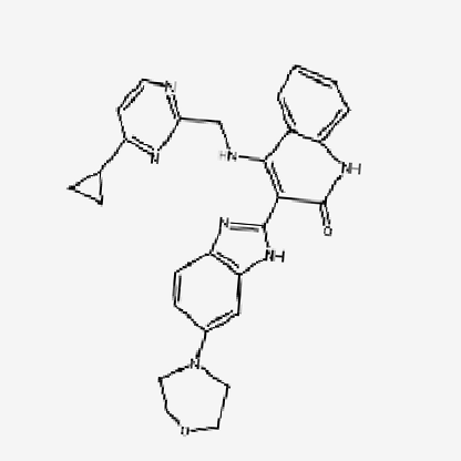 O=c1[nH]c2ccccc2c(NCc2nccc(C3CC3)n2)c1-c1nc2ccc(N3CCOCC3)cc2[nH]1